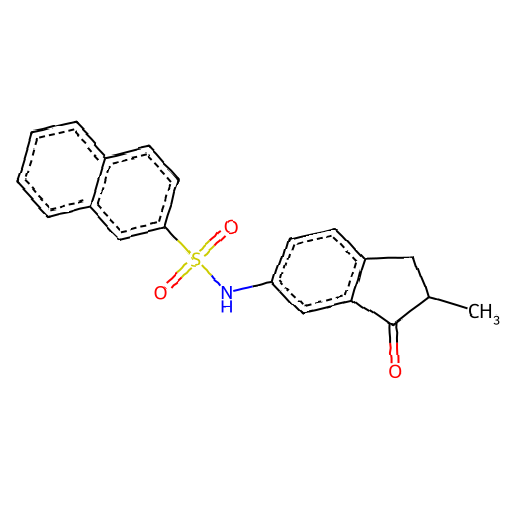 CC1Cc2ccc(NS(=O)(=O)c3ccc4ccccc4c3)cc2C1=O